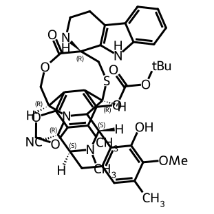 COc1c(C)cc2c(c1O)[C@H]1C3[C@@H]4SC[C@]5(NCCc6c5[nH]c5ccccc65)C(=O)OC[C@@H](c5c6c(c(C)c(OC(=O)OC(C)(C)C)c54)OCO6)N3[C@@H](C#N)[C@H](C2)N1C